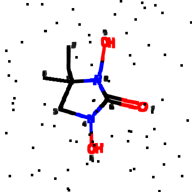 CC1(C)CN(O)C(=O)N1O